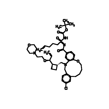 C=CCCCS(=O)(=NC(=O)c1ccc2c(c1)N(C[C@@H]1CC[C@H]1[C@H](C=C)OCCN1CCOCC1)Cc1ccc(Cl)cc1CCCCO2)NC(=O)OC(C)(C)C